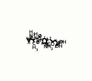 CC(NS(=O)(=O)N1C[C@H](CCCB(O)O)[C@](N)(C(=O)O)C1)C1(N)CC1